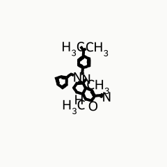 CC(C)c1ccc(-c2nc3c(n2Cc2ccccc2)CC[C@@H]2[C@@H](C)C(=O)C(C#N)=C[C@@]32C)cc1